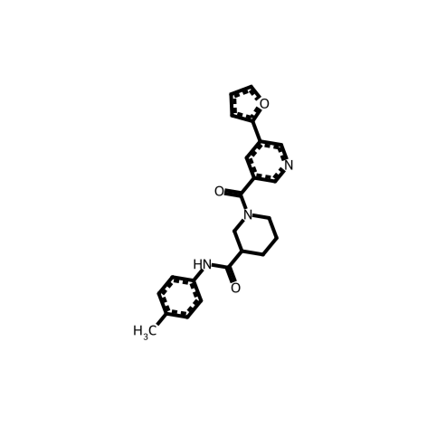 Cc1ccc(NC(=O)C2CCCN(C(=O)c3cncc(-c4ccco4)c3)C2)cc1